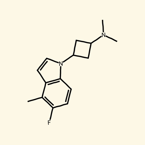 Cc1c(F)ccc2c1ccn2C1CC(N(C)C)C1